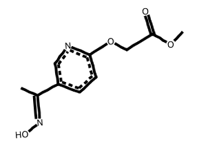 COC(=O)COc1ccc(C(C)=NO)cn1